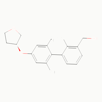 Cc1cc(O[C@H]2CCOC2)cc(C)c1-c1cccc(CO)c1C